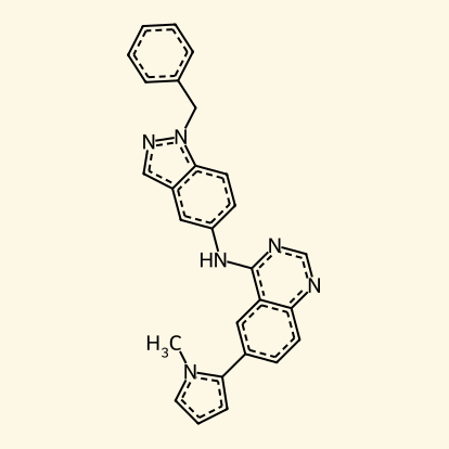 Cn1cccc1-c1ccc2ncnc(Nc3ccc4c(cnn4Cc4ccccc4)c3)c2c1